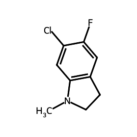 CN1CCc2cc(F)c(Cl)cc21